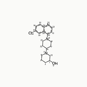 OC1CCCN(C2CCN(c3ccnc4ccc(Cl)cc34)CC2)C1